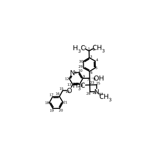 CC(C)c1ccc([C@](O)(c2cncc(OCc3ccccc3)c2)C2(C)CN(C)C2)cc1